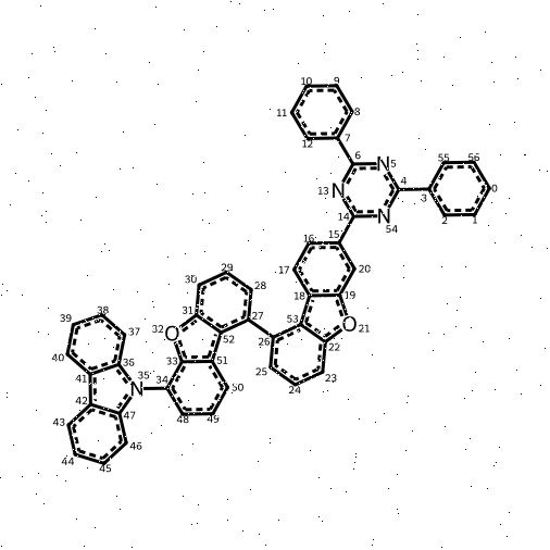 c1ccc(-c2nc(-c3ccccc3)nc(-c3ccc4c(c3)oc3cccc(-c5cccc6oc7c(-n8c9ccccc9c9ccccc98)cccc7c56)c34)n2)cc1